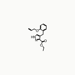 C=CCOc1ccccc1Cc1c[nH]nc1C(=O)OCC